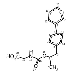 CC(Cc1ccc(-c2ccccc2)cc1)OC(=O)NCC(=O)O